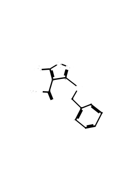 COC(=O)c1c(SCc2ccccc2)n[nH]c1N